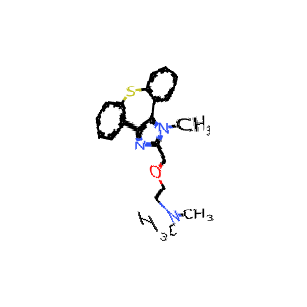 CN(C)CCOCc1nc2c(n1C)-c1ccccc1Sc1ccccc1-2